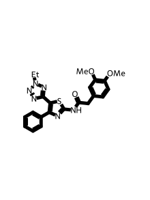 CCn1nnc(-c2sc(NC(=O)Cc3ccc(OC)c(OC)c3)nc2-c2ccccc2)n1